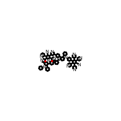 N#Cc1c(-c2ccncc2)c(-c2ccncc2)c(-c2ccc(-n3c4ccccc4c4c5c6ccc(-c7cncc(-c8c(C#N)c(-c9cccnc9)c(-c9cccnc9)c(-n9c%10ccccc%10c%10c%11c%12ccccc%12n(-c%12ccccc%12)c%11ccc%109)c8-c8cccnc8)c7)cc6n(-c6ccccc6)c5ccc43)cc2)c(-c2ccncc2)c1-c1ccncc1